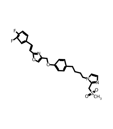 CS(=O)(=O)Cc1nccn1CCCCc1ccc(OCc2coc(C=Cc3ccc(F)c(F)c3)n2)cc1